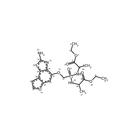 CCOC(=O)C(C)NP(=O)(COc1cc2occc2c2sc(N)nc12)NC(C)C(=O)OCC